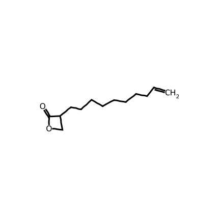 C=CCCCCCCCCC1COC1=O